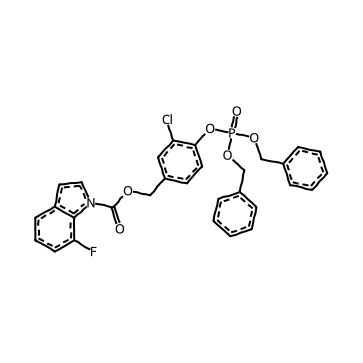 O=C(OCc1ccc(OP(=O)(OCc2ccccc2)OCc2ccccc2)c(Cl)c1)n1ccc2cccc(F)c21